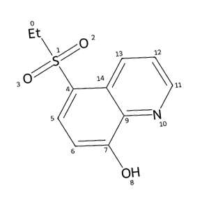 CCS(=O)(=O)c1ccc(O)c2ncccc12